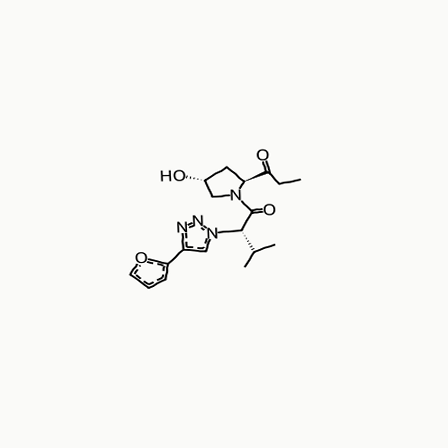 CCC(=O)[C@@H]1C[C@@H](O)CN1C(=O)[C@H](C(C)C)n1cc(-c2ccco2)nn1